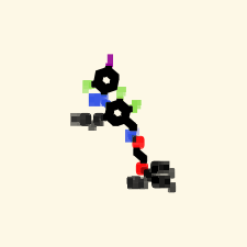 CC(C)(C)[Si](C)(C)OCCO/N=C/c1cc(C(=O)O)c(Nc2ccc(I)cc2F)c(F)c1F